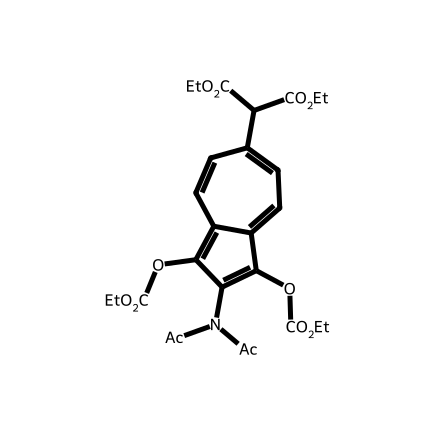 CCOC(=O)Oc1c2ccc(C(C(=O)OCC)C(=O)OCC)ccc-2c(OC(=O)OCC)c1N(C(C)=O)C(C)=O